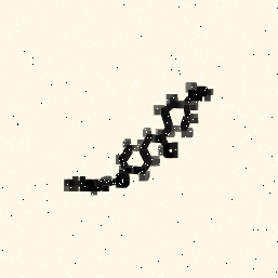 CCCCCCCOc1ccc(/C=C(\Cl)c2ccc(CCC)cc2)cc1